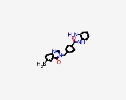 Bc1ccc2ncn(Cc3ccc(C(=O)Nc4ccccc4N)cc3)c(=O)c2c1